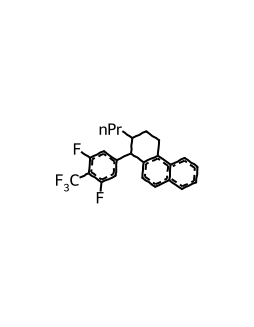 CCCC1CCc2c(ccc3ccccc23)C1c1cc(F)c(C(F)(F)F)c(F)c1